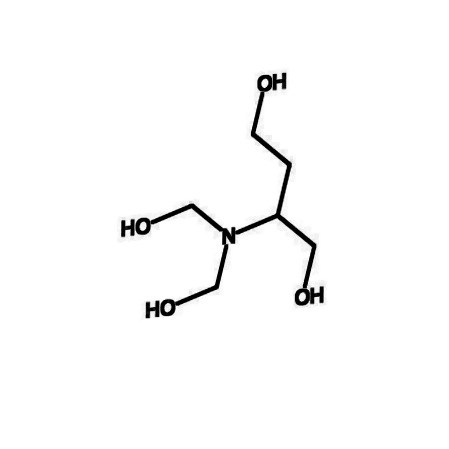 OCCC(CO)N(CO)CO